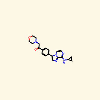 O=C(CN1CCOCC1)c1ccc(-c2cnc3c(NC4CC4)nccn23)cc1